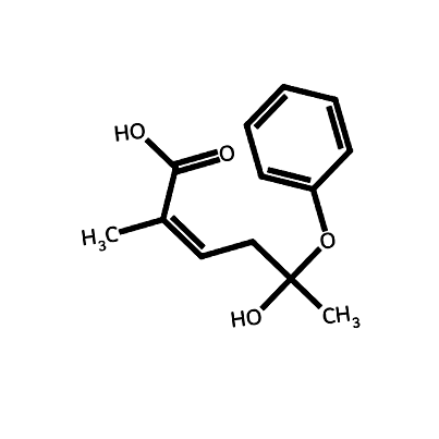 CC(=CCC(C)(O)Oc1ccccc1)C(=O)O